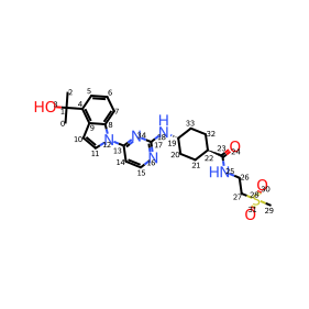 CC(C)(O)c1cccc2c1ccn2-c1ccnc(N[C@H]2CC[C@H](C(=O)NCCS(C)(=O)=O)CC2)n1